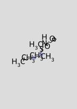 CC(C)=CCC/C(C)=C/CC/C(C)=C/CSCC(C)NC(=O)CCc1ccco1